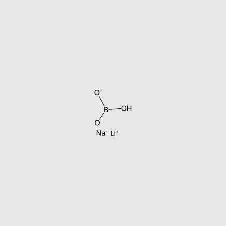 [Li+].[Na+].[O-]B([O-])O